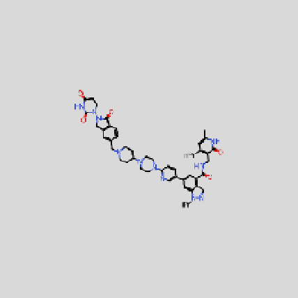 CCCc1cc(C)[nH]c(=O)c1CNC(=O)c1cc(-c2ccc(N3CCN(C4CCN(Cc5ccc6c(c5)CN(N5CCC(=O)NC5=O)C6=O)CC4)CC3)nc2)cc2c1cnn2C(C)C